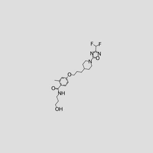 Cc1cc(OCCCC2CCN(c3nc(C(F)F)no3)CC2)ccc1C(=O)NCCCO